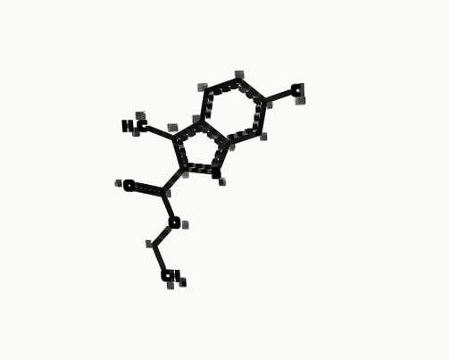 CCOC(=O)c1sc2cc(Cl)ccc2c1C